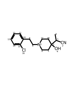 CC(C#N)C1(O)CCN(CCc2ccccc2Cl)CC1